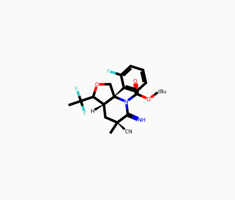 CC(C)(C)OC(=O)N1C(=N)[C@@](C)(C#N)C[C@@H]2C(C(C)(F)F)OC[C@@]21c1ccccc1F